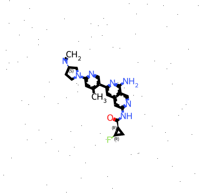 C=N[C@H]1CCN(c2cc(C)c(-c3cc4cc(NC(=O)[C@H]5C[C@H]5F)ncc4c(N)n3)cn2)C1